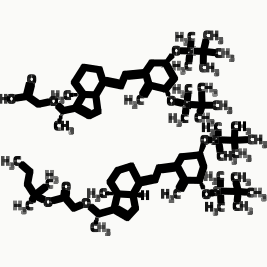 C=C1C(=CC=C2CCC[C@]3(C)C([C@H](C)OCC(=O)O)=CCC23)C[C@@H](O[Si](C)(C)C(C)(C)C)C[C@@H]1O[Si](C)(C)C(C)(C)C.C=C1C(=CC=C2CCC[C@]3(C)C([C@H](C)OCC(=O)OC(C)(C)CCC)=CC[C@@H]23)C[C@@H](O[Si](C)(C)C(C)(C)C)C[C@@H]1O[Si](C)(C)C(C)(C)C